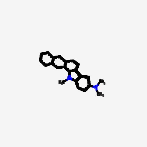 CN(C)c1ccc2c(c1)c1ccc3cc4ccccc4cc3c1n2C